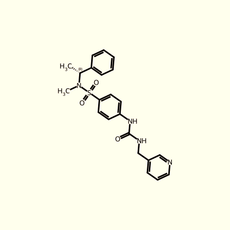 C[C@H](c1ccccc1)N(C)S(=O)(=O)c1ccc(NC(=O)NCc2cccnc2)cc1